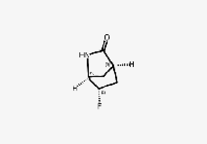 O=C1N[C@H]2C[C@@H]1C[C@@H]2F